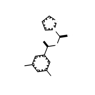 N=C(NC(=O)c1cc(F)cc(F)c1)n1cccn1